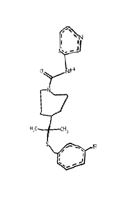 CC(C)(Sc1cccc(F)c1)C1CCN(C(=O)Nc2cnccn2)CC1